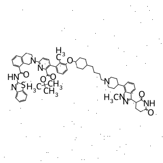 Cc1c(OC2CCC(CCCCN3CCC(c4cccc5c(C6CCC(=O)NC6=O)nn(C)c45)CC3)CC2)cccc1-c1ccc(N2CCc3cccc(C(=O)Nc4nc5ccccc5s4)c3C2)nc1C(=O)OC(C)(C)C